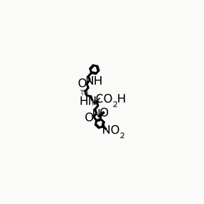 C[C@@H](CCN[C@H](CCN1C(=O)c2ccc([N+](=O)[O-])cc2C1=O)C(=O)O)CC(=O)NCc1ccccc1